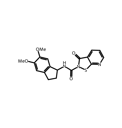 COc1cc2c(cc1OC)C(NC(=O)n1sc3ncccc3c1=O)CC2